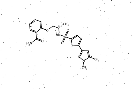 C[C@@H](COc1ccccc1C(N)=O)NS(=O)(=O)c1ccc(-c2cc(C(F)(F)F)n(C)n2)s1